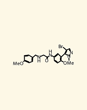 COc1ccc(CNCC(=O)Nc2ccc(OC)c(-c3c(Br)cnn3C)c2)cc1